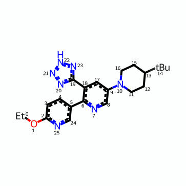 CCOc1ccc(-c2ncc(N3CCC(C(C)(C)C)CC3)cc2-c2nn[nH]n2)cn1